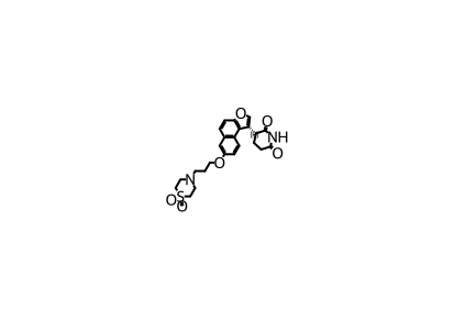 O=C1CC[C@H](c2coc3ccc4cc(OCCCN5CCS(=O)(=O)CC5)ccc4c23)C(=O)N1